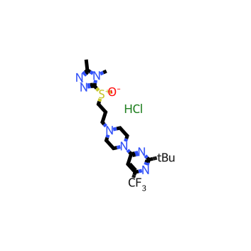 Cc1nnc([S+]([O-])CCCN2CCN(c3cc(C(F)(F)F)nc(C(C)(C)C)n3)CC2)n1C.Cl